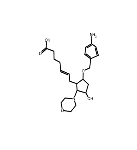 Nc1ccc(COC2CC(O)C(N3CCOCC3)C2CC=CCCCC(=O)O)cc1